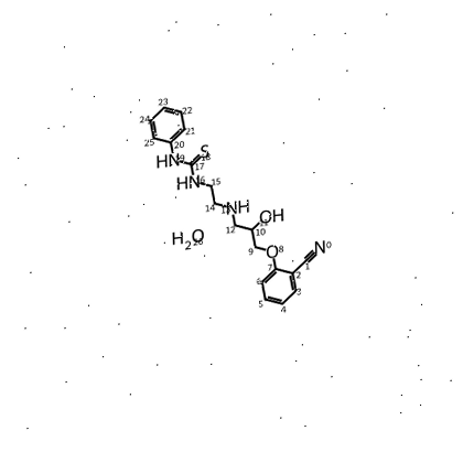 N#Cc1ccccc1OCC(O)CNCCNC(=S)Nc1ccccc1.O